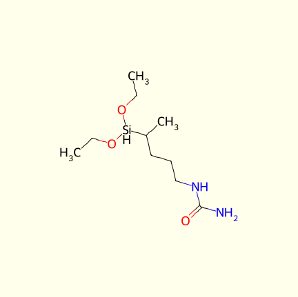 CCO[SiH](OCC)C(C)CCCNC(N)=O